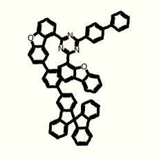 c1ccc(-c2ccc(-c3nc(-c4cccc5c4oc4ccccc45)nc(-c4cccc5oc6ccc(-c7ccc(-c8ccc9c(c8)-c8ccccc8C98c9ccccc9-c9ccccc98)cc7)cc6c45)n3)cc2)cc1